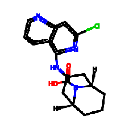 O=C(O)N1[C@@H]2CCC[C@H]1C[C@@H](Nc1nc(Cl)cc3ncccc13)C2